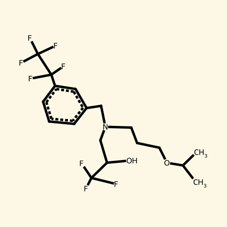 CC(C)OCCCN(Cc1cccc(C(F)(F)C(F)(F)F)c1)CC(O)C(F)(F)F